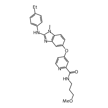 CCc1ccc(Nc2nc3cc(Oc4ccnc(C(=O)NCCCOC)c4)ccc3n2C)cc1